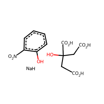 O=C(O)CC(O)(CC(=O)O)C(=O)O.O=[N+]([O-])c1ccccc1O.[NaH]